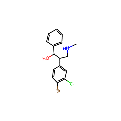 CNCC(c1ccc(Br)c(Cl)c1)C(O)c1ccccc1